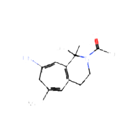 COC1=CC2=C(C=C(N)C1)C(C)(C)N(C(=O)C(F)(F)F)CC2